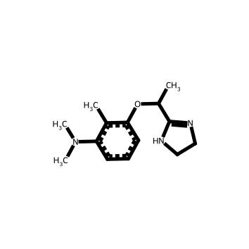 Cc1c(OC(C)C2=NCCN2)cccc1N(C)C